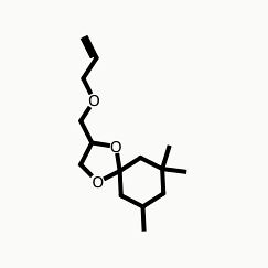 C=CCOCC1COC2(CC(C)CC(C)(C)C2)O1